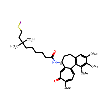 COc1cc2c(c(OC)c1OC)-c1ccc(OC)c(=O)cc1[C@@H](NC(=O)CCCCCC(CCSI)(C(=O)O)C(=O)O)CC2